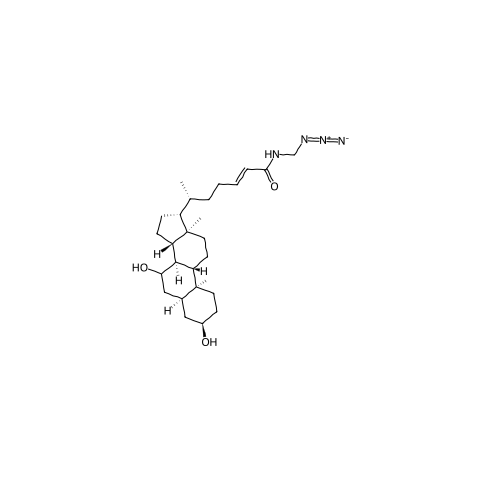 C[C@H](CC/C=C/C(=O)NCN=[N+]=[N-])[C@H]1CC[C@H]2[C@@H]3C(O)C[C@@H]4C[C@H](O)CC[C@]4(C)[C@H]3CC[C@]12C